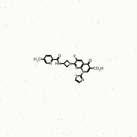 Cc1ccc(C(=O)NC2CN(c3nc4c(cc3F)c(=O)c(C(=O)O)cn4-c3nccs3)C2)nc1